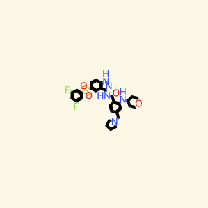 O=C(Nc1n[nH]c2ccc(S(=O)(=O)c3cc(F)cc(F)c3)cc12)c1ccc(CN2CCCC2)cc1NC1CCOCC1